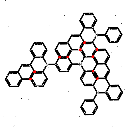 c1ccc(N(c2ccc(N(c3ccc(N(c4ccccc4)c4ccccc4-c4ccc5ccccc5c4)cc3)c3ccc(N(c4ccccc4)c4ccccc4-c4ccc5ccccc5c4)cc3)cc2)c2ccccc2-c2ccc3ccccc3c2)cc1